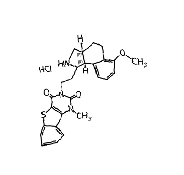 COc1cccc2c1CC[C@H]1CNC(CCn3c(=O)c4sc5ccccc5c4n(C)c3=O)[C@@H]21.Cl